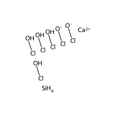 OCl.OCl.OCl.OCl.[Ca+2].[O-]Cl.[O-]Cl.[SiH4]